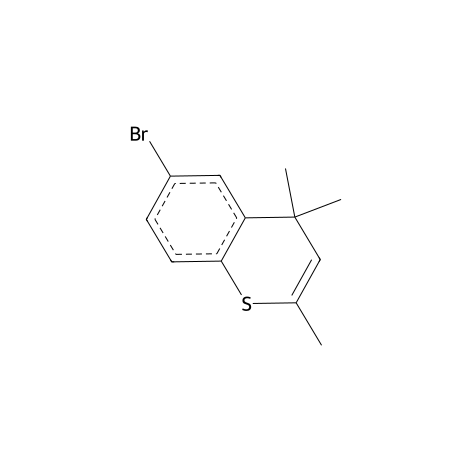 CC1=CC(C)(C)c2cc(Br)ccc2S1